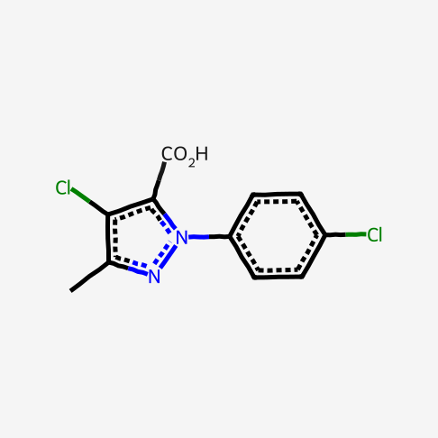 Cc1nn(-c2ccc(Cl)cc2)c(C(=O)O)c1Cl